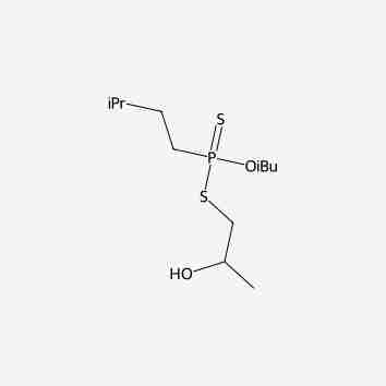 CC(C)CCP(=S)(OCC(C)C)SCC(C)O